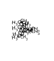 CCN(C(=O)OC(C)(C)C)/C(=N\C(=O)OC(C)(C)C)NC(=O)OC(C)(C)C